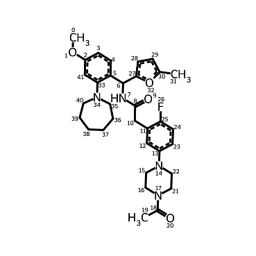 COc1ccc(C(NC(=O)Cc2cc(N3CCN(C(C)=O)CC3)ccc2F)c2ccc(C)o2)c(N2CCCCCC2)c1